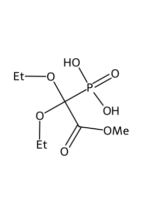 CCOC(OCC)(C(=O)OC)P(=O)(O)O